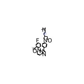 C[C@@H](Oc1ccc2ncc(-c3ccc(N4CC(/C=C/N(C)C)CC4=O)cc3)n2n1)c1cccc(F)c1